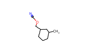 CC1CCCC(COC#N)C1